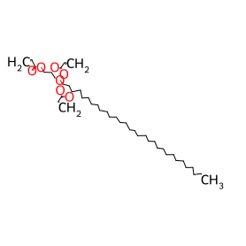 C=CC(=O)OCC(COC(CCCCCCCCCCCCCCCCCCCCCCCCCCCCCC)OC(=O)C=C)OC(=O)C=C